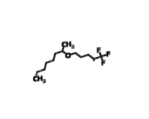 CCCCCCC(C)OCCC[CH]C(F)(F)F